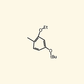 CCOc1cc(OC(C)(C)C)ccc1C